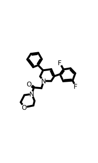 O=C(CN1CC(c2cc(F)ccc2F)=CC(c2ccccc2)C1)N1CCOCC1